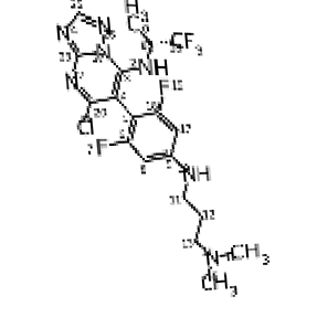 C[C@@H](Nc1c(-c2c(F)cc(NCCCN(C)C)cc2F)c(Cl)nc2ncnn12)C(F)(F)F